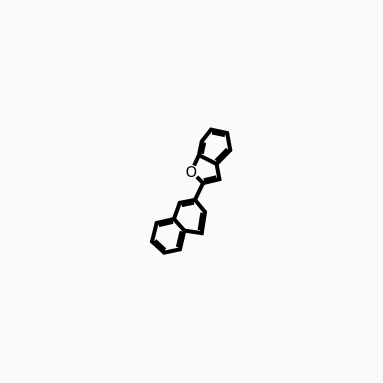 c1ccc2cc(-c3cc4ccccc4o3)ccc2c1